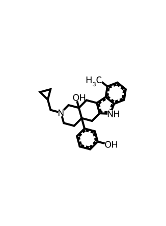 Cc1cccc2[nH]c3c(c12)CC1(O)CN(CC2CC2)CCC1(c1cccc(O)c1)C3